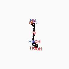 NS(=O)(=O)c1ccc(CCCCOCCCCCCN[C@@H]2CCc3c(ccc(O)c3O)[C@H]2O)cc1